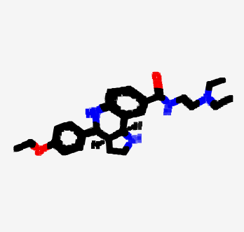 CCOc1ccc(C2Nc3ccc(C(=O)NCCN(CC)CC)cc3[C@H]3NCC[C@@H]23)cc1